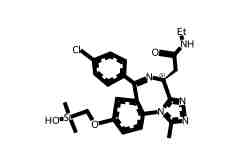 CCNC(=O)C[C@@H]1N=C(c2ccc(Cl)cc2)c2cc(OC[Si](C)(C)O)ccc2-n2c(C)nnc21